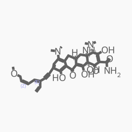 C=C/C(C#Cc1cc(N(C)C)c2c(c1O)C(=O)C1=C(O)[C@]3(O)C(=O)C(C(N)=O)=C(O)[C@@H](N(C)C)[C@]3(N)C[C@@H]1C2)=C\C=C/COC